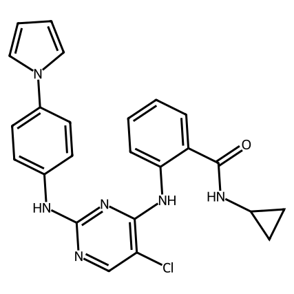 O=C(NC1CC1)c1ccccc1Nc1nc(Nc2ccc(-n3cccc3)cc2)ncc1Cl